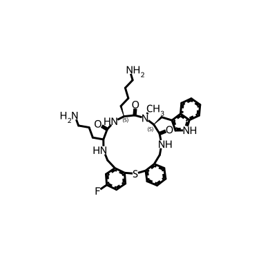 CN1C(=O)[C@H](CCCCN)NC(=O)C(CCCN)NCc2cc(F)ccc2Sc2ccccc2CNC(=O)[C@@H]1Cc1c[nH]c2ccccc12